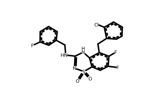 O=S1(=O)N=C(NCc2cccc(F)c2)Nc2c1cc(F)c(F)c2Cc1ccccc1Cl